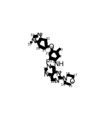 Cc1cc(Nc2ncnc3cnc(N4CCOCC4)nc23)c(F)cc1Oc1ccc2c(c1)ncn2C